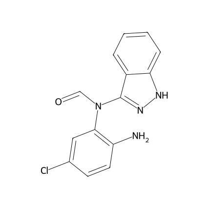 Nc1ccc(Cl)cc1N(C=O)c1n[nH]c2ccccc12